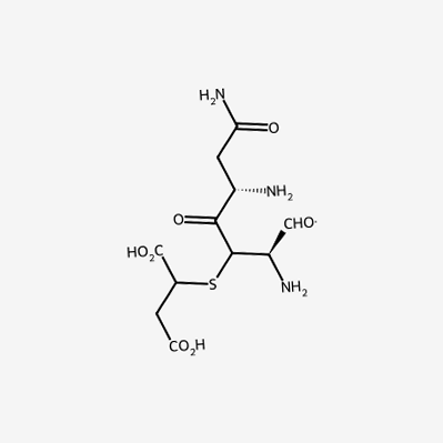 NC(=O)C[C@H](N)C(=O)C(SC(CC(=O)O)C(=O)O)[C@H](N)[C]=O